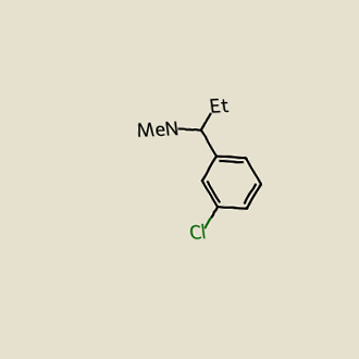 CCC(NC)c1cccc(Cl)c1